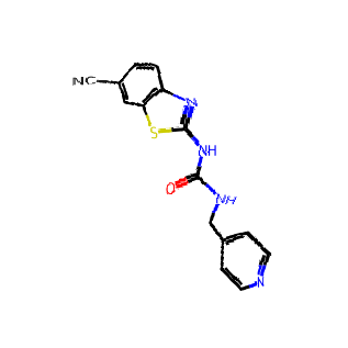 N#Cc1ccc2nc(NC(=O)NCc3ccncc3)sc2c1